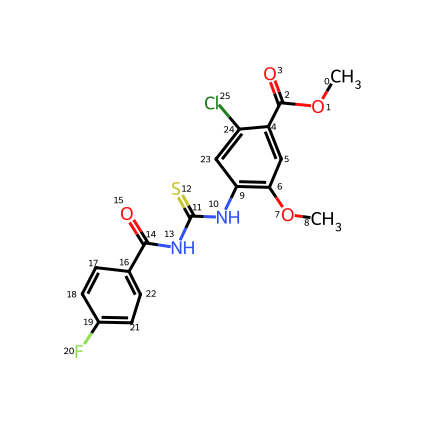 COC(=O)c1cc(OC)c(NC(=S)NC(=O)c2ccc(F)cc2)cc1Cl